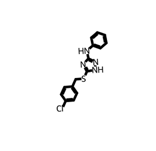 Clc1ccc(CSc2nc(Nc3ccccc3)n[nH]2)cc1